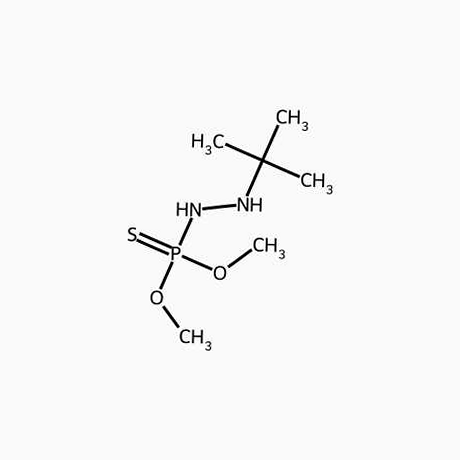 COP(=S)(NNC(C)(C)C)OC